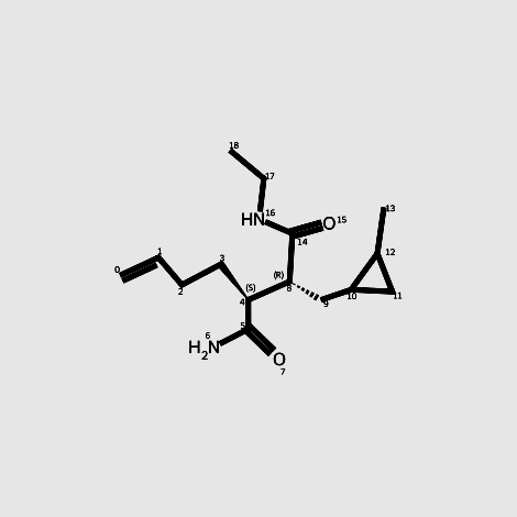 C=CCC[C@H](C(N)=O)[C@@H](CC1CC1C)C(=O)NCC